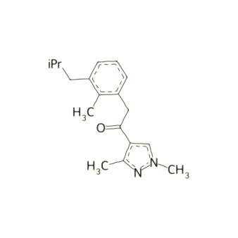 Cc1nn(C)cc1C(=O)Cc1cccc(CC(C)C)c1C